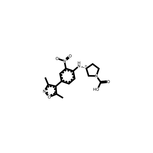 Cc1noc(C)c1-c1ccc(N[C@@H]2CCN(C(=O)O)C2)c([N+](=O)[O-])c1